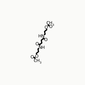 CC(=O)OCCCNC(=O)CCC(=O)NCCCOC(C)=O